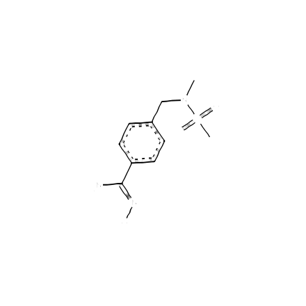 CN(Cc1ccc(/C(N)=N/O)cc1)S(C)(=O)=O